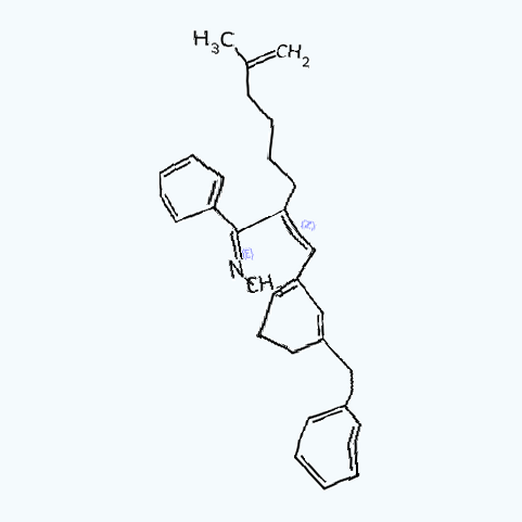 C=C(C)CCCCC(=C/C1=CCCC(Cc2ccccc2)=C1)/C(=N\C)c1ccccc1